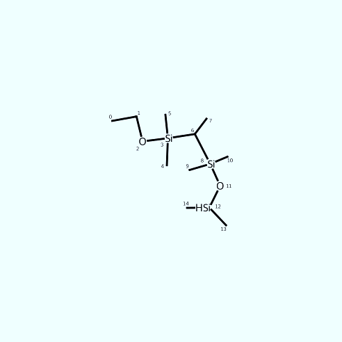 CCO[Si](C)(C)C(C)[Si](C)(C)O[SiH](C)C